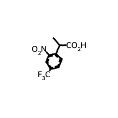 CC(C(=O)O)c1ccc(C(F)(F)F)cc1[N+](=O)[O-]